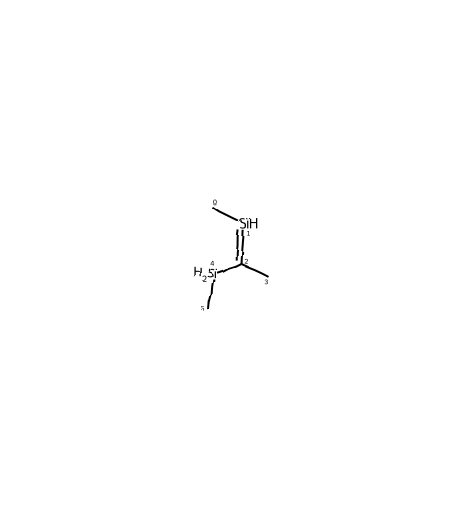 C[SiH]=C(C)[SiH2]C